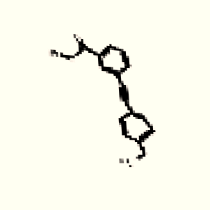 CC(C)OC(=O)c1cccc(C#Cc2ccc(CC(=O)O)cc2)c1